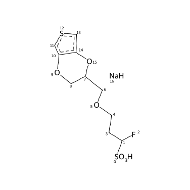 O=S(=O)(O)C(F)CCOCC1COc2cscc2O1.[NaH]